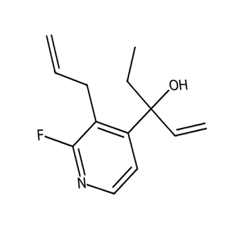 C=CCc1c(C(O)(C=C)CC)ccnc1F